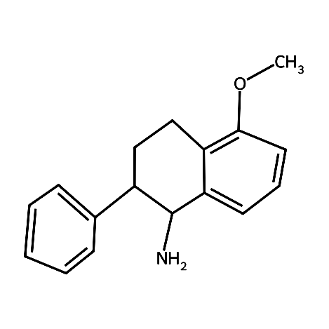 COc1cccc2c1CCC(c1ccccc1)C2N